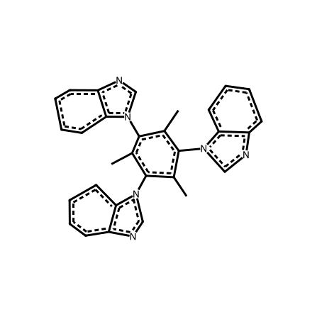 Cc1c(-n2cnc3ccccc32)c(C)c(-n2cnc3ccccc32)c(C)c1-n1cnc2ccccc21